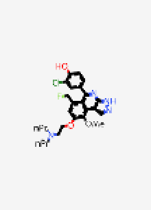 CCCN(CCC)CCOc1cc(CF)c2c(-c3ccc(O)c(Cl)c3)nc3[nH]ncc3c2c1OC